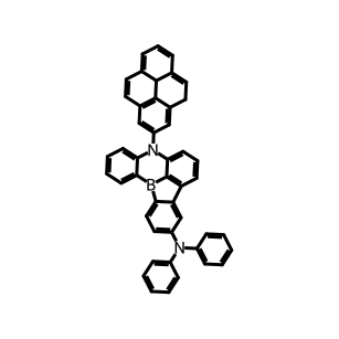 C1=CC2=CCc3cc(N4c5ccccc5B5c6ccc(N(c7ccccc7)c7ccccc7)cc6-c6cccc4c65)cc4c3C2C(=C1)C=C4